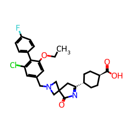 CCOc1cc(CN2CC3(CC([C@H]4CC[C@H](C(=O)O)CC4)=NC3=O)C2)cc(Cl)c1-c1ccc(F)cc1